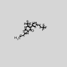 COCc1nn2c(=O)c(-c3cnn(CCC(F)(F)F)c3)c(C(F)(F)F)nc2s1